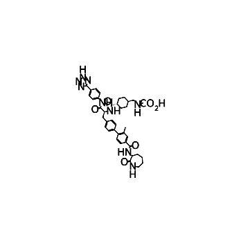 Cc1cc(C(=O)N[C@H]2CCCCNC2=O)ccc1-c1ccc(C[C@H](NC(=O)[C@H]2CC[C@H](CNC(=O)O)CC2)C(=O)Nc2ccc(-c3nn[nH]n3)cc2)cc1